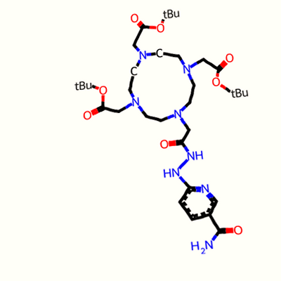 CC(C)(C)OC(=O)CN1CCN(CC(=O)NNc2ccc(C(N)=O)cn2)CCN(CC(=O)OC(C)(C)C)CCN(CC(=O)OC(C)(C)C)CC1